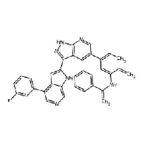 C=C/C(=C\C(=C/C)c1cnc2[nH]nc(-c3cc4c(-c5cccc(F)c5)cncc4[nH]3)c2c1)NC(=C)c1ccccc1